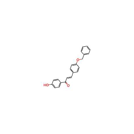 O=C(C=Cc1ccc(OCc2ccccc2)cc1)c1ccc(O)cc1